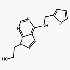 OCCn1ccc2c(NCc3ccco3)ncnc21